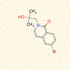 CC(C)(O)Cn1ccc2cc(Br)ccc2c1=O